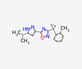 Cc1ccccc1C1(c2noc(-c3cc(C(C)C)[nH]n3)n2)CC1